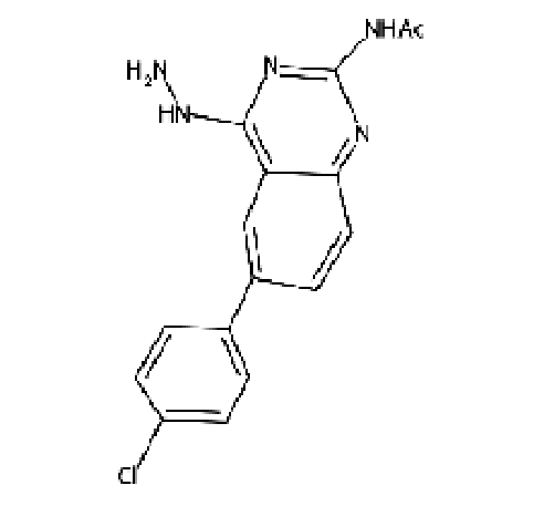 CC(=O)Nc1nc(NN)c2cc(-c3ccc(Cl)cc3)ccc2n1